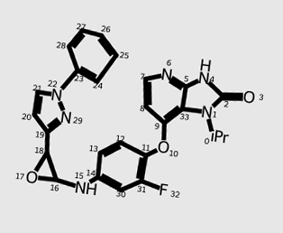 CC(C)n1c(=O)[nH]c2nccc(Oc3ccc(NC4OC4c4ccn(-c5ccccc5)n4)cc3F)c21